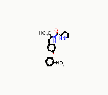 O=C(O)[C@H](Cc1ccc(Oc2ccccc2[N+](=O)[O-])cc1)NC(=O)[C@@H]1CCCN1